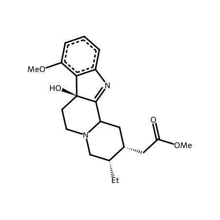 CC[C@@H]1CN2CC[C@@]3(O)C(=Nc4cccc(OC)c43)C2C[C@@H]1CC(=O)OC